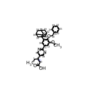 CC/C(=C\C(=O)O)c1cnc(-c2cc(OC)c(OCc3ccccc3)c(C34CC5CC(CC(C5)C3)C4)c2)nc1